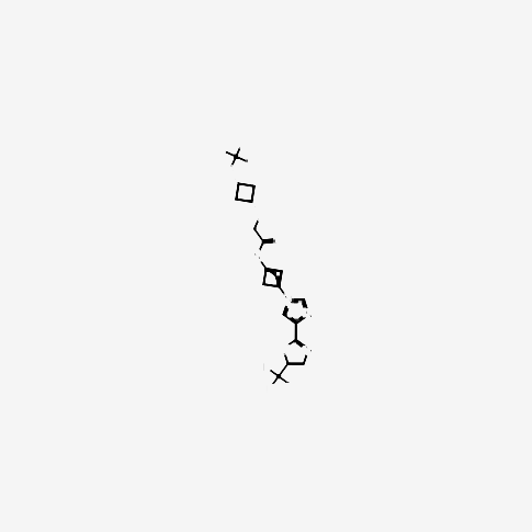 O=C(CO[C@H]1C[C@@H](OC(F)(F)F)C1)NC12CC(n3cnc(C4=NCC(C(F)(F)F)O4)c3)(C1)C2